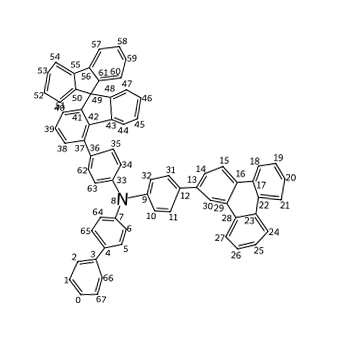 c1ccc(-c2ccc(N(c3ccc(-c4ccc5c6ccccc6c6ccccc6c5c4)cc3)c3ccc(-c4cccc5c4-c4ccccc4C54c5ccccc5-c5ccccc54)cc3)cc2)cc1